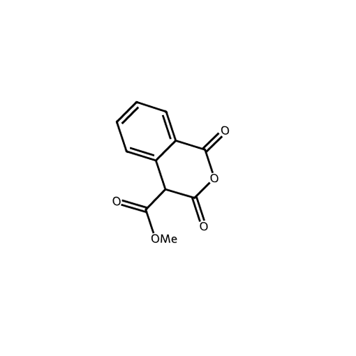 COC(=O)C1C(=O)OC(=O)c2ccccc21